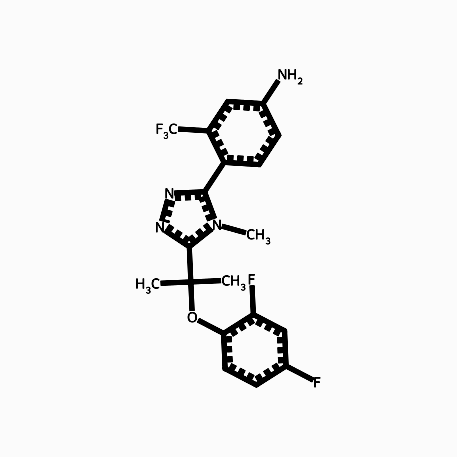 Cn1c(-c2ccc(N)cc2C(F)(F)F)nnc1C(C)(C)Oc1ccc(F)cc1F